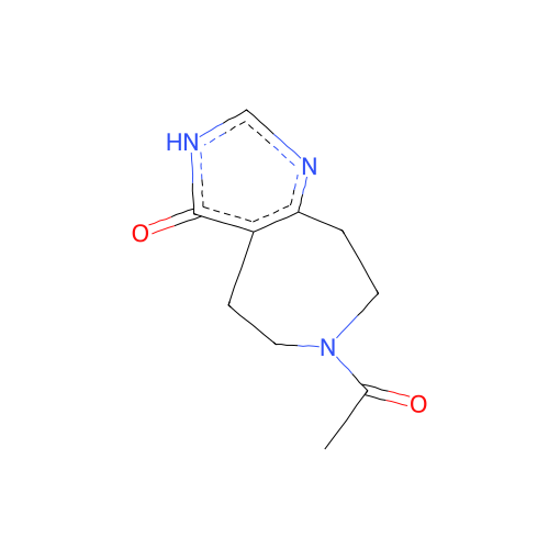 CC(=O)N1CCc2nc[nH]c(=O)c2CC1